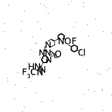 Fc1cc(Cl)ccc1COc1cccc(C2=CCN(Cc3nc4cc(-c5nnc(C(F)(F)F)[nH]5)cnc4n3C[C@@H]3CCO3)CC2)n1